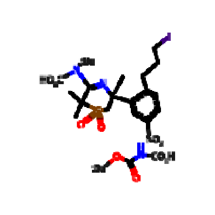 CC(C)(C)N(C(=O)O)C1=N[C@](C)(c2cc([N+](=O)[O-])ccc2CCCI)CS(=O)(=O)C1(C)C.CC(C)(C)OC(=O)NC(=O)O